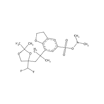 CN(C)OS(=O)(=O)c1cc2c(c(C(C)(C)CC3(C(F)F)COC(C)(C)O3)c1)OCC2